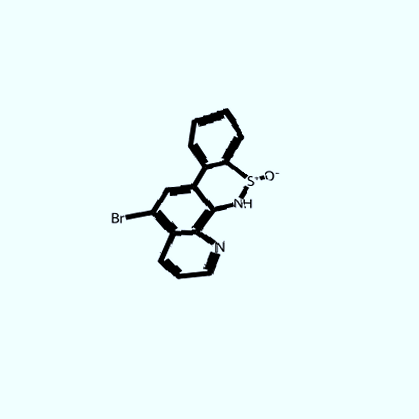 [O-][S+]1Nc2c(cc(Br)c3cccnc23)-c2ccccc21